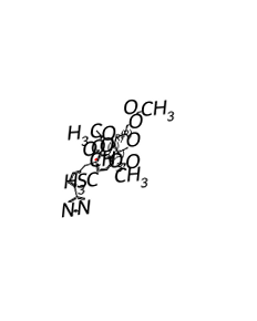 CC(=O)OC[C@H]1OC[C@H](OC(C)=O)[C@](OC(C)=O)(c2ccc(C)c(Cc3ccc(-c4cncnc4)s3)c2)[C@@H]1OC(C)=O